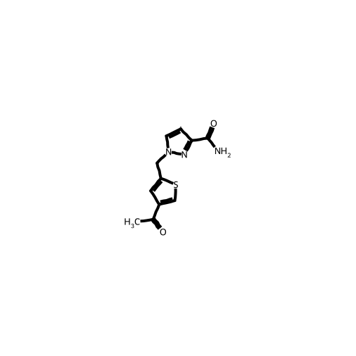 CC(=O)c1csc(Cn2c[c]c(C(N)=O)n2)c1